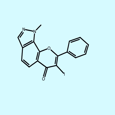 Cn1ncc2ccc3c(=O)c(I)c(-c4ccccc4)oc3c21